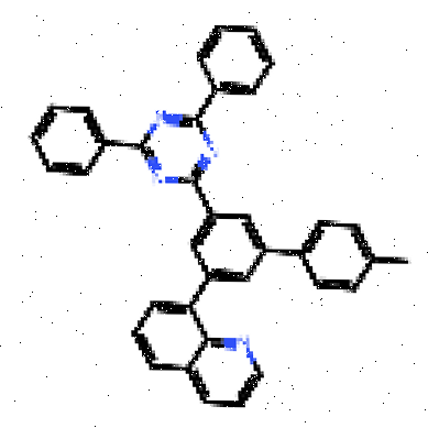 Cc1ccc(-c2cc(-c3nc(-c4ccccc4)nc(-c4ccccc4)n3)cc(-c3cccc4cccnc34)c2)cc1